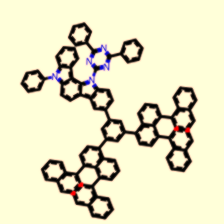 c1ccc(-c2nc(-c3ccccc3)nc(-n3c4ccc(-c5cc(-c6ccc(-c7cccc8ccccc78)c7c(-c8cccc9ccccc89)cccc67)cc(-c6ccc(-c7cccc8ccccc78)c7c(-c8cccc9ccccc89)cccc67)c5)cc4c4ccc5c(c6ccccc6n5-c5ccccc5)c43)n2)cc1